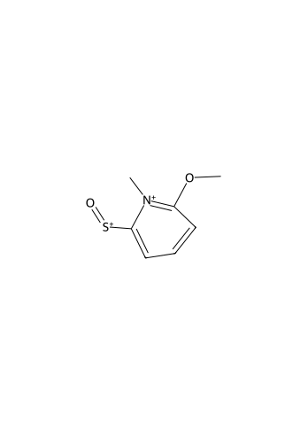 COc1cccc([S+]=O)[n+]1C